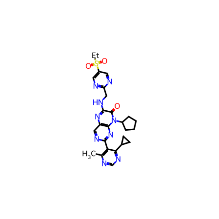 CCS(=O)(=O)c1cnc(CNc2nc3cnc(-c4c(C)ncnc4C4CC4)nc3n(C3CCCC3)c2=O)nc1